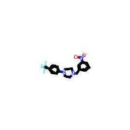 O=[N+]([O-])c1cccc(CN2CCN(c3ccc(C(F)(F)F)cc3)CC2)c1